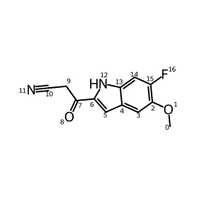 COc1cc2cc(C(=O)CC#N)[nH]c2cc1F